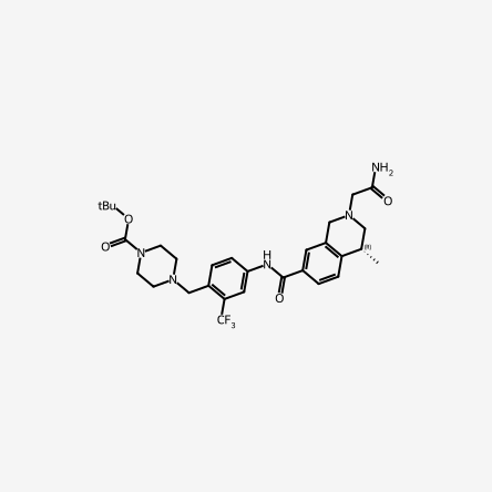 C[C@H]1CN(CC(N)=O)Cc2cc(C(=O)Nc3ccc(CN4CCN(C(=O)OC(C)(C)C)CC4)c(C(F)(F)F)c3)ccc21